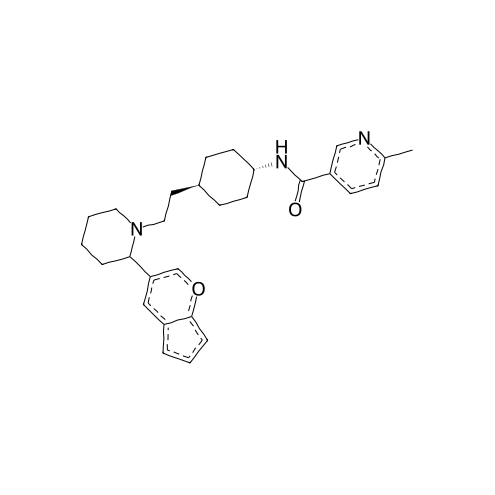 Cc1ccc(C(=O)N[C@H]2CC[C@H](CCN3CCCCC3c3coc4cccc-4c3)CC2)cn1